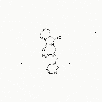 N[C@H](Cc1cccnc1)CN1C(=O)c2ccccc2C1=O